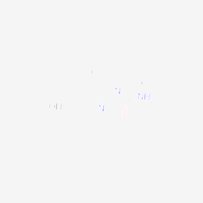 Cc1ccccc1-c1nc(N(C(N)=O)c2c(Cl)cccc2Cl)ccc1C=O